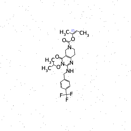 C/C=C(/C)OC(=O)N1CCc2nc(NCc3ccc(C(F)(F)F)cc3)n(OC(C)C)c(=O)c2C1